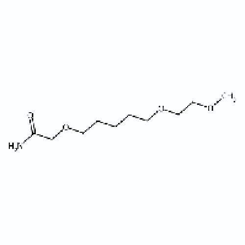 COCCOCCCCCOCC(N)=O